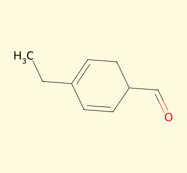 CCC1=CCC(C=O)C=C1